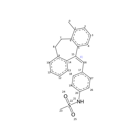 Cc1cccc2c1CCc1ccccc1/C2=C\c1ccc(NS(C)(=O)=O)cc1